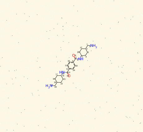 NCC1CCC(NC(=O)c2ccc(C(=O)NC3CCC(CN)CC3)cc2)CC1